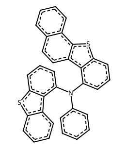 c1ccc(N(c2cccc3sc4ccccc4c23)c2cccc3sc4c5ccccc5ccc4c23)cc1